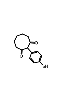 O=C1CCCCCC(=O)C1c1ccc(S)cc1